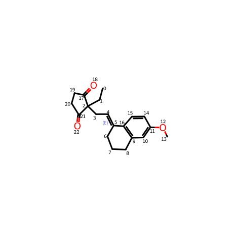 CCC1(C/C=C2\CCCc3cc(OC)ccc32)C(=O)CCC1=O